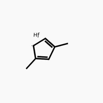 CC1=CC(C)=C[CH]1.[Hf]